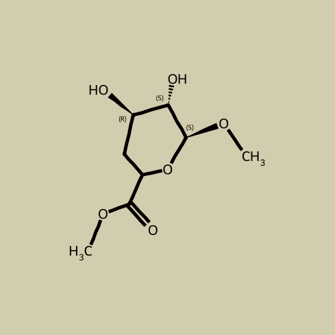 COC(=O)C1C[C@@H](O)[C@H](O)[C@@H](OC)O1